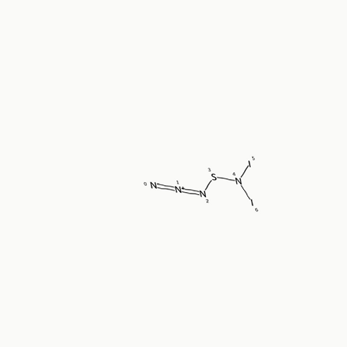 [N-]=[N+]=NSN(I)I